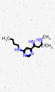 CCCCNc1cc(C(=N)C[C@@H](C)NC)ncn1